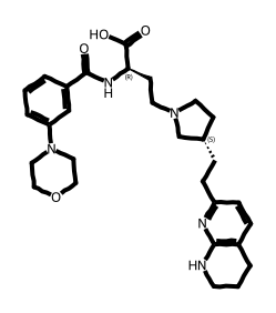 O=C(N[C@H](CCN1CC[C@H](CCc2ccc3c(n2)NCCC3)C1)C(=O)O)c1cccc(N2CCOCC2)c1